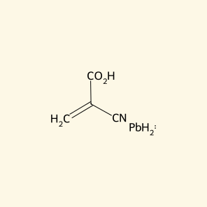 C=C(C#N)C(=O)O.[PbH2]